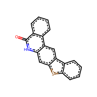 O=c1[nH]c2cc3sc4ccccc4c3cc2c2ccccc12